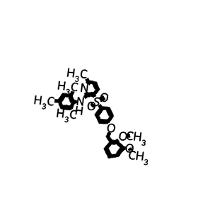 COc1cccc(COc2ccc(S(=O)(=O)c3ccc(C)nc3Nc3c(C)cc(C)cc3C)cc2)c1OC